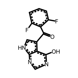 O=C(c1c(F)cccc1F)c1c[nH]c2ncnc(O)c12